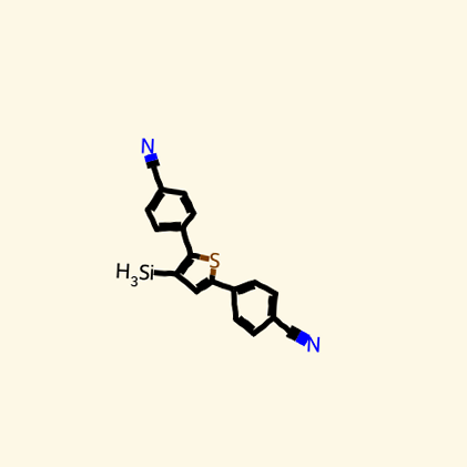 N#Cc1ccc(-c2cc([SiH3])c(-c3ccc(C#N)cc3)s2)cc1